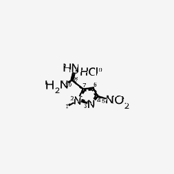 Cl.Cn1nc([N+](=O)[O-])cc1C(=N)N